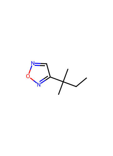 CCC(C)(C)c1cnon1